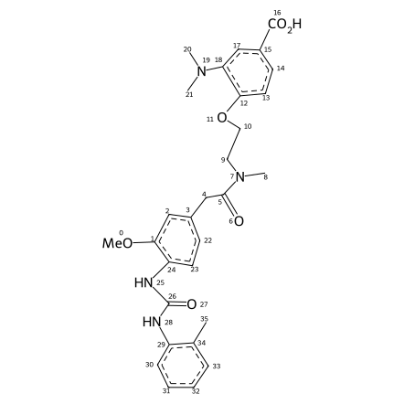 COc1cc(CC(=O)N(C)CCOc2ccc(C(=O)O)cc2N(C)C)ccc1NC(=O)Nc1ccccc1C